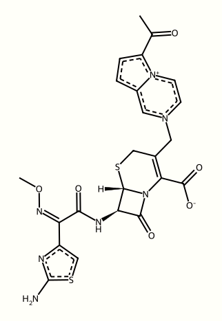 CO/N=C(\C(=O)N[C@@H]1C(=O)N2C(C(=O)[O-])=C(Cn3cc[n+]4c(C(C)=O)ccc-4c3)CS[C@@H]12)c1csc(N)n1